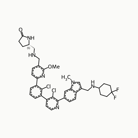 COc1nc(-c2cccc(-c3ccnc(-c4ccc5c(CNC6CCC(F)(F)CC6)cn(C)c5c4)c3Cl)c2Cl)ccc1CNC[C@@H]1CCC(=O)N1